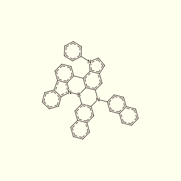 c1ccc(-n2ccc3cc4c5c(c32)-c2cccc3c6ccccc6n(c23)B5c2cc3ccccc3cc2N4c2ccc3ccccc3c2)cc1